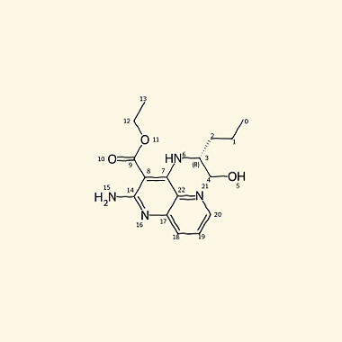 CCC[C@H](CO)Nc1c(C(=O)OCC)c(N)nc2cccnc12